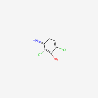 N=C1CC=C(Cl)C(O)=C1Cl